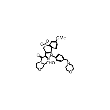 COc1ccc2c(c1)S(=O)(=O)Cc1c(C(=O)N3CCOCC3C=O)nn(-c3ccc(CN4CCOCC4)cc3)c1-2